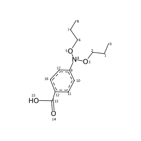 CCCON(OCCC)c1ccc(C(=O)O)cc1